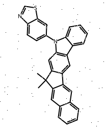 CC1(C)c2cc3ccccc3cc2-c2cc3c4ccccc4n(-c4ccc5ncsc5c4)c3cc21